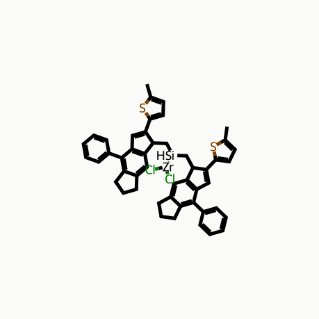 Cc1ccc(C2=Cc3c(cc4c(c3-c3ccccc3)CCC4)C2C[SiH](CC2C(c3ccc(C)s3)=Cc3c2cc2c(c3-c3ccccc3)CCC2)[Zr]([Cl])[Cl])s1